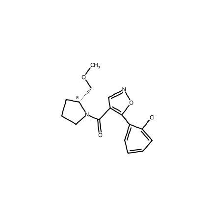 COC[C@H]1CCCN1C(=O)c1cnoc1-c1ccccc1Cl